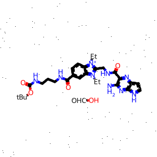 CCn1c(CNC(=O)c2nc3cc[nH]c3nc2N)[n+](CC)c2ccc(C(=O)NCCCNC(=O)OC(C)(C)C)cc21.O=CO